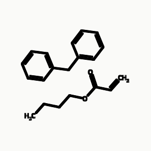 C=CC(=O)OCCCC.c1ccc(Cc2ccccc2)cc1